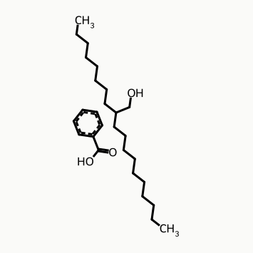 CCCCCCCCCCC(CO)CCCCCCCC.O=C(O)c1ccccc1